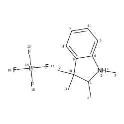 CC1[NH+](C)c2ccccc2C1(C)C.F[B-](F)(F)F